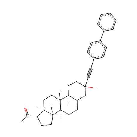 CC(=O)[C@H]1CC[C@H]2[C@@H]3CCC4CC(O)(C#Cc5ccc(-c6ccccc6)cc5)CC[C@]4(C)[C@H]3CC[C@]12C